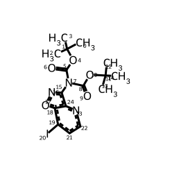 CC(C)(C)OC(=O)N(C(=O)OC(C)(C)C)c1noc2c(I)ccnc12